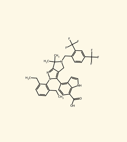 CCc1cccc(CC)c1-n1nc2c(c1-c1ccc(C(=O)O)c3[nH]ccc13)CN(Cc1ccc(C(F)(F)F)cc1C(F)(F)F)C2(C)C